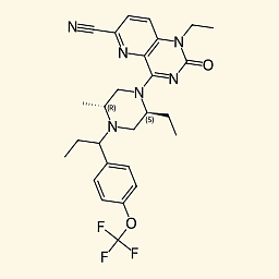 CCC(c1ccc(OC(F)(F)F)cc1)N1C[C@H](CC)N(c2nc(=O)n(CC)c3ccc(C#N)nc23)C[C@H]1C